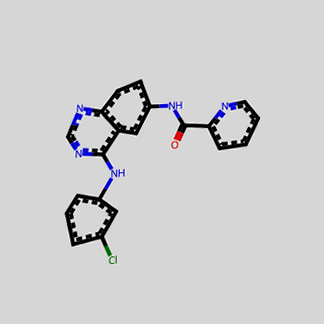 O=C(Nc1ccc2ncnc(Nc3cccc(Cl)c3)c2c1)c1ccccn1